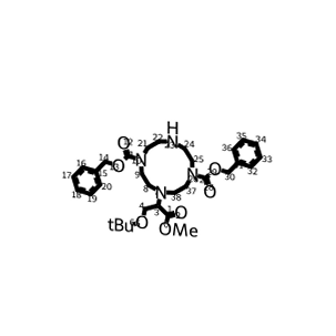 COC(=O)C(COC(C)(C)C)N1CCN(C(=O)OCc2ccccc2)CCNCCN(C(=O)OCc2ccccc2)CC1